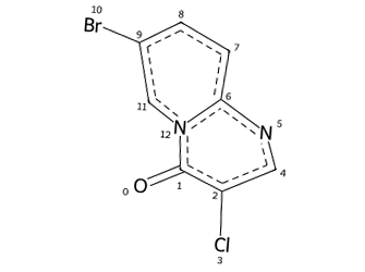 O=c1c(Cl)cnc2ccc(Br)cn12